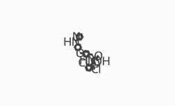 O=C(N[C@@H](Cc1ccc(O[C@H]2CC[C@@H](Nc3ccccn3)CC2)cc1)C(=O)O)c1c(Cl)cccc1Cl